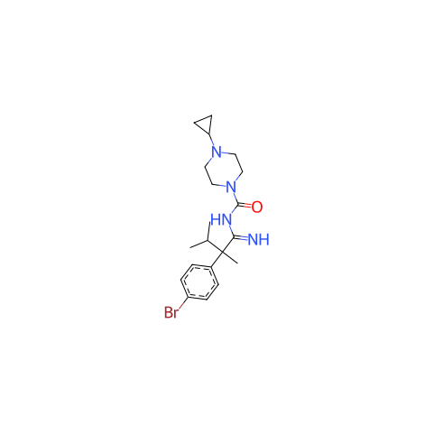 CC(C)C(C)(C(=N)NC(=O)N1CCN(C2CC2)CC1)c1ccc(Br)cc1